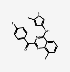 Cc1cc(Nc2nc(C(=O)c3ccc(F)cc3)nc3c(F)cccc23)n[nH]1